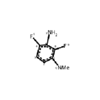 CNc1ccc(F)c(N)c1F